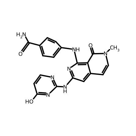 Cn1ccc2cc(Nc3nccc(O)n3)nc(Nc3ccc(C(N)=O)cc3)c2c1=O